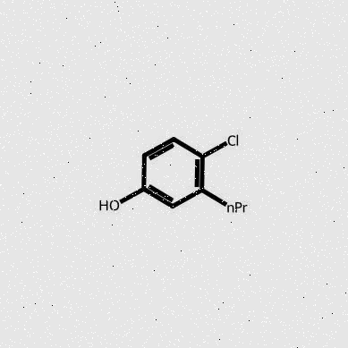 CCCc1cc(O)ccc1Cl